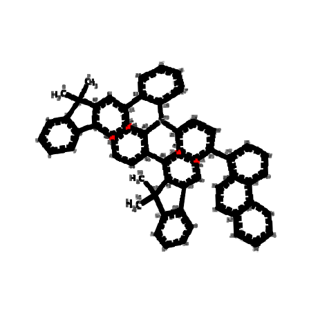 CC1(C)c2ccccc2-c2ccc(-c3ccccc3N(c3ccc(-c4cccc5c4ccc4ccccc45)cc3)c3ccccc3-c3cccc4c3C(C)(C)c3ccccc3-4)cc21